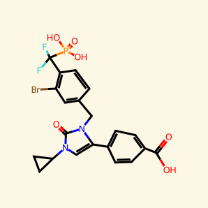 O=C(O)c1ccc(-c2cn(C3CC3)c(=O)n2Cc2ccc(C(F)(F)P(=O)(O)O)c(Br)c2)cc1